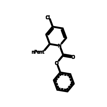 CCCCCC1C=C(Cl)C=CN1C(=O)Oc1ccccc1